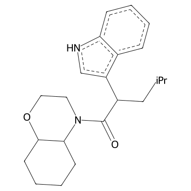 CC(C)CC(C(=O)N1CCOC2CCCCC21)c1c[nH]c2ccccc12